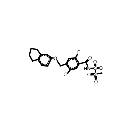 CS(=O)(=O)S(=O)(=O)NC(=O)c1cc(Cl)c(COc2ccc3c(c2)CCCC3)cc1F